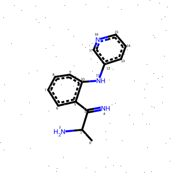 CC(N)C(=N)c1ccccc1Nc1cccnc1